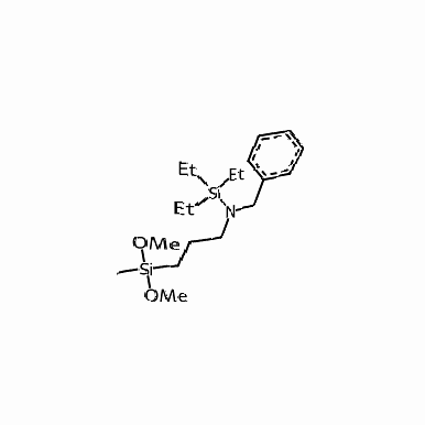 CC[Si](CC)(CC)N(CCC[Si](C)(OC)OC)Cc1ccccc1